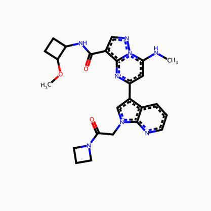 CNc1cc(-c2cn(CC(=O)N3CCC3)c3ncccc23)nc2c(C(=O)NC3CCC3OC)cnn12